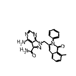 Cc1cccc2cc(Cn3nc(C(N)=O)c4c(N)ncnc43)n(-c3ccccc3)c(=O)c12